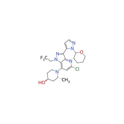 C[C@@H]1C[C@@H](O)CCN1c1cc(Cl)nc2c(-c3ccnn3C3CCCCO3)nn(CC(F)(F)F)c12